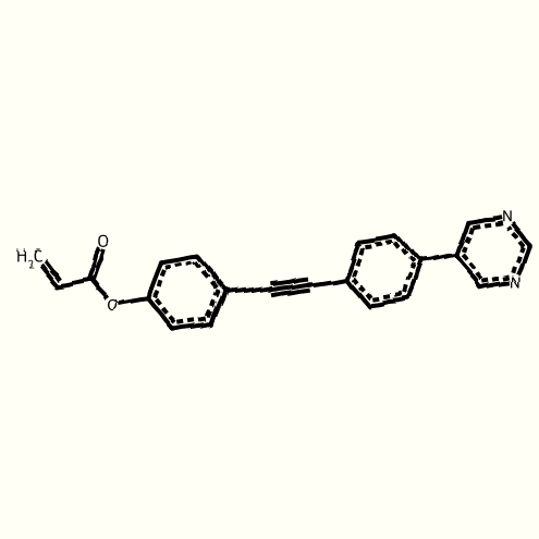 C=CC(=O)Oc1ccc(C#Cc2ccc(-c3cncnc3)cc2)cc1